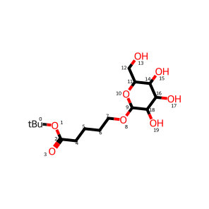 CC(C)(C)OC(=O)CCCCOC1OC(CO)C(O)C(O)C1O